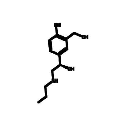 CCCNC[C@H](O)c1ccc(O)c(CO)c1